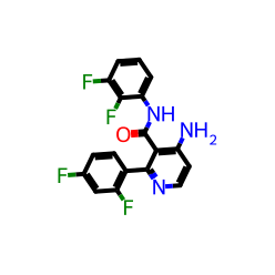 Nc1ccnc(-c2ccc(F)cc2F)c1C(=O)Nc1cccc(F)c1F